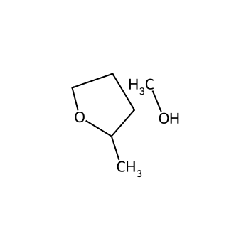 CC1CCCO1.CO